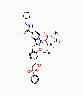 COc1cc(C(=O)CS(=O)(=O)c2ccccc2)ccc1Cc1cn(C(C)C(=O)N(C)C)c2ccc(C(=O)NCC3CCCC3)cc12